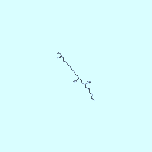 CCCC=CCC(O)CCC(O)CCCCCCCCCC(=O)O